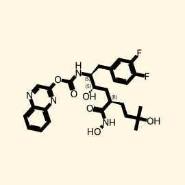 CC(C)(O)CC[C@H](C[C@H](O)[C@H](Cc1ccc(F)c(F)c1)NC(=O)Oc1cnc2ccccc2n1)C(=O)NO